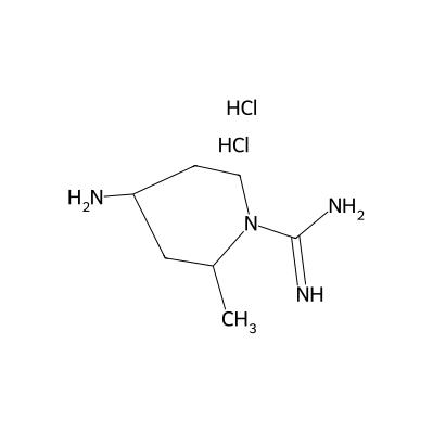 CC1CC(N)CCN1C(=N)N.Cl.Cl